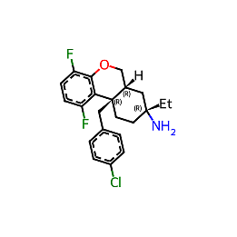 CC[C@@]1(N)CC[C@]2(Cc3ccc(Cl)cc3)c3c(F)ccc(F)c3OC[C@@H]2C1